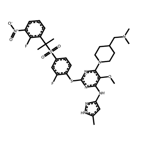 COc1c(Nc2cc(C)[nH]n2)nc(Sc2ccc(S(=O)(=O)C(C)(C)c3cccc([N+](=O)[O-])c3F)cc2F)nc1N1CCC(CN(C)C)CC1